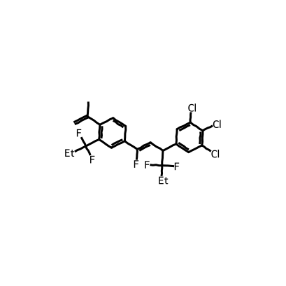 C=C(C)c1ccc(/C(F)=C/C(c2cc(Cl)c(Cl)c(Cl)c2)C(F)(F)CC)cc1C(F)(F)CC